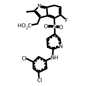 CC1=C(CC(=O)O)C2=C(S(=O)(=O)c3ccc(Nc4cc(Cl)cc(Cl)c4)nc3)C(F)=CCC2=N1